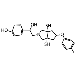 Cc1ccc(O[C@@H]2C[C@@]3(S)CN(CC(O)c4ccc(O)cc4)C[C@@]3(S)C2)cc1